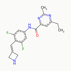 CCc1cc(C(=O)Nc2cc(F)c(C=C3CNC3)c(F)c2)nc(C)n1